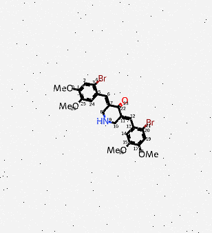 COc1cc(Br)c(C=C2CNCC(=Cc3cc(OC)c(OC)cc3Br)C2=O)cc1OC